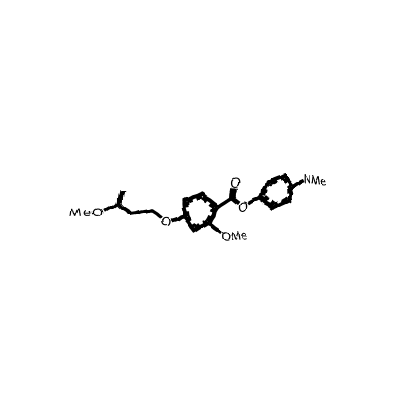 CNc1ccc(OC(=O)c2ccc(OCCC(C)OC)cc2OC)cc1